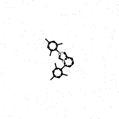 Cc1cc(C)c(-c2cccc3c[n+](-c4c(C)cc(C)cc4C)cn23)c(C)c1